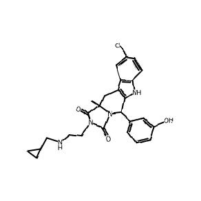 CC12Cc3c([nH]c4ccc(Cl)cc34)C(c3cccc(O)c3)N1C(=O)N(CCNCC1CC1)C2=O